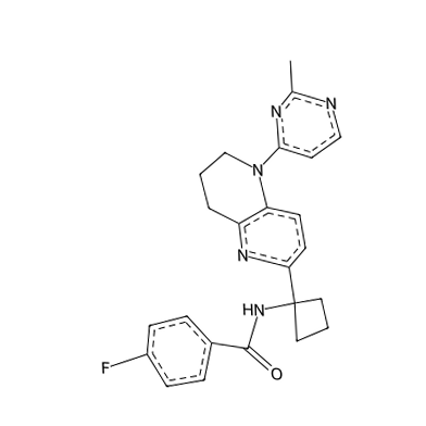 Cc1nccc(N2CCCc3nc(C4(NC(=O)c5ccc(F)cc5)CCC4)ccc32)n1